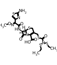 CCSN(SCC)C(=O)SCC1=C(C(=O)O)N2C(=O)[C@@H](NC(=O)C(=NOC)c3csc(N)n3)[C@@H]2SC1